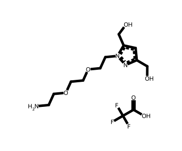 NCCOCCOCCn1nc(CO)cc1CO.O=C(O)C(F)(F)F